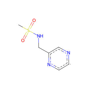 CS(=O)(=O)NCc1cn[c]cn1